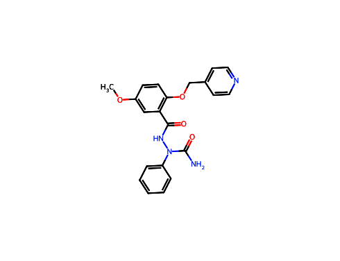 COc1ccc(OCc2ccncc2)c(C(=O)NN(C(N)=O)c2ccccc2)c1